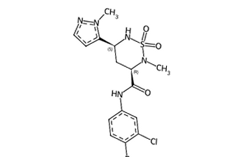 CN1[C@@H](C(=O)Nc2ccc(F)c(Cl)c2)C[C@@H](c2ccnn2C)NS1(=O)=O